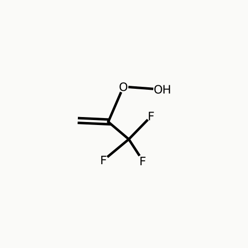 C=C(OO)C(F)(F)F